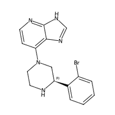 Brc1ccccc1[C@@H]1CN(c2ccnc3[nH]cnc23)CCN1